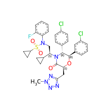 Cn1nnc(C[C@@H]2O[C@H](c3cccc(Cl)c3)[C@@H](c3ccc(Cl)cc3)N([C@H](CN(c3ccccc3F)S(=O)(=O)C3CC3)C3CC3)C2=O)n1